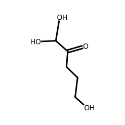 O=C(CCCO)C(O)O